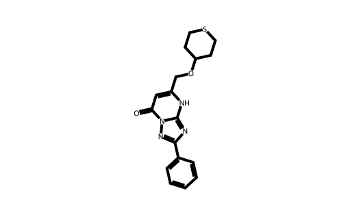 O=c1cc(COC2CCSCC2)[nH]c2nc(-c3ccccc3)nn12